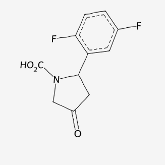 O=C1CC(c2cc(F)ccc2F)N(C(=O)O)C1